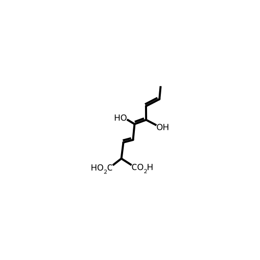 CC=CC(O)=C(O)C=CC(C(=O)O)C(=O)O